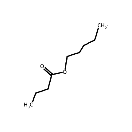 [CH2]CCCCOC(=O)CCC